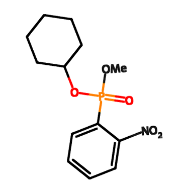 COP(=O)(OC1CCCCC1)c1ccccc1[N+](=O)[O-]